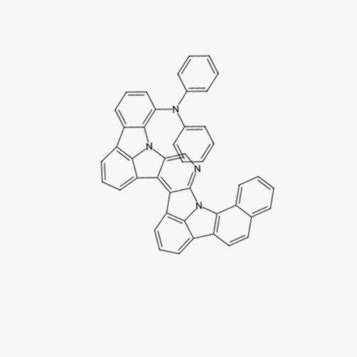 c1ccc(N(c2ccccc2)c2cccc3c4cccc5c6c7c8cccc9c%10ccc%11ccccc%11c%10n(c7ncc6n(c23)c45)c98)cc1